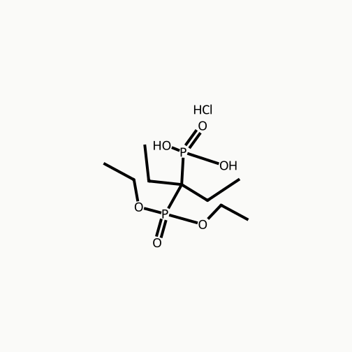 CCOP(=O)(OCC)C(CC)(CC)P(=O)(O)O.Cl